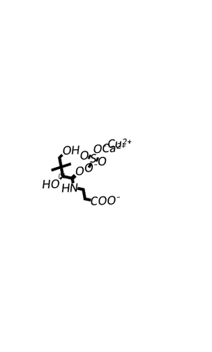 CC(C)(CO)[C@H](O)C(=O)NCCC(=O)[O-].O=S(=O)([O-])[O-].[Ca+2].[Cu+2]